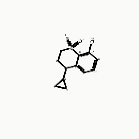 O=S1(=O)CCC(C2CC2)c2cccc(Cl)c21